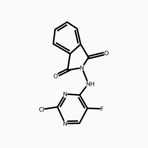 O=C1c2ccccc2C(=O)N1Nc1nc(Cl)ncc1F